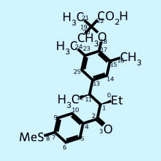 CC[C@@H](C(=O)c1ccc(SC)cc1)[C@@H](C)c1cc(C)c(OC(C)(C)C(=O)O)c(C)c1